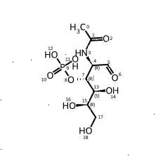 CC(=O)N[C@@H](C=O)[C@@H](OP(=O)(O)O)[C@@H](O)[C@H](O)CO